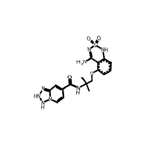 CC(C)(COc1cccc2c1C(N)=NS(=O)(=O)N2)NC(=O)C1=CC2=NNNN2C=C1